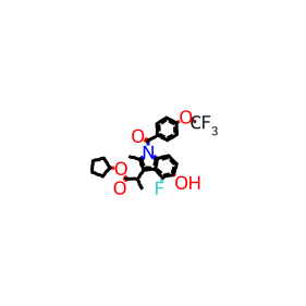 Cc1c(C(C)C(=O)OC2CCCC2)c2c(F)c(O)ccc2n1C(=O)c1ccc(OC(F)(F)F)cc1